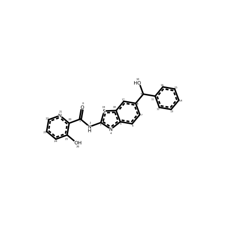 O=C(Nc1nc2ccc(C(O)c3ccccc3)cc2s1)c1ncccc1O